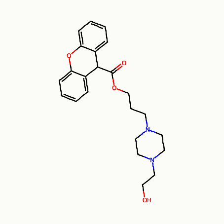 O=C(OCCCN1CCN(CCO)CC1)C1c2ccccc2Oc2ccccc21